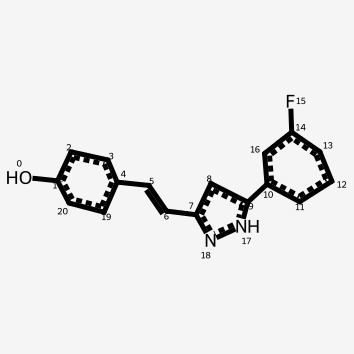 Oc1ccc(C=Cc2cc(-c3cccc(F)c3)[nH]n2)cc1